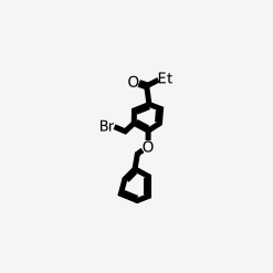 CCC(=O)c1ccc(OCc2ccccc2)c(CBr)c1